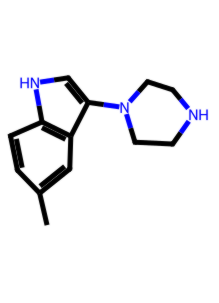 Cc1ccc2[nH]cc(N3CCNCC3)c2c1